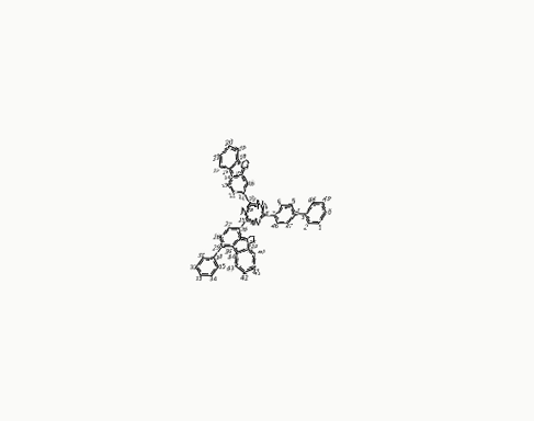 c1ccc(-c2ccc(-c3nc(-c4ccc5c(c4)oc4ccccc45)nc(-c4ccc(-c5ccccc5)c5c4oc4ccccc45)n3)cc2)cc1